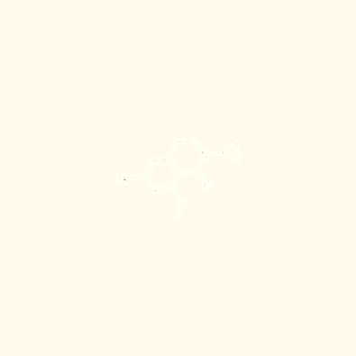 COc1cc(Br)cc2c1C(=O)N(C1CC1)CC2